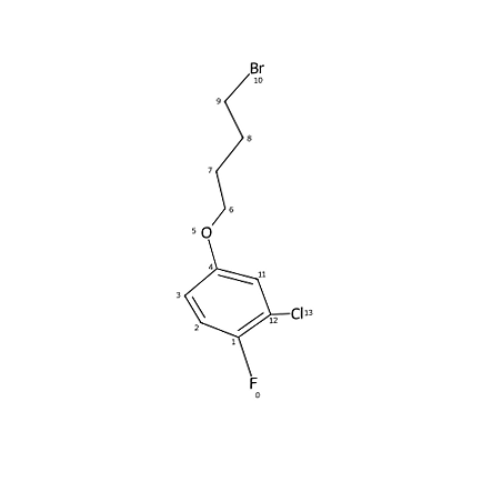 Fc1ccc(OCCCCBr)cc1Cl